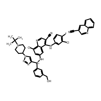 CC(C)(C)N1CCC(n2cc([C@@H](Nc3cc(Cl)c4ncc(C#N)c(Nc5ccc(F)c(Cl)c5)c4c3)c3cccc(CO)c3)nn2)CC1.N#Cc1cnc2ccccc2c1